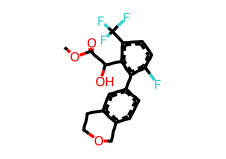 COC(=O)C(O)c1c(C(F)(F)F)ccc(F)c1-c1ccc2c(c1)CCOC2